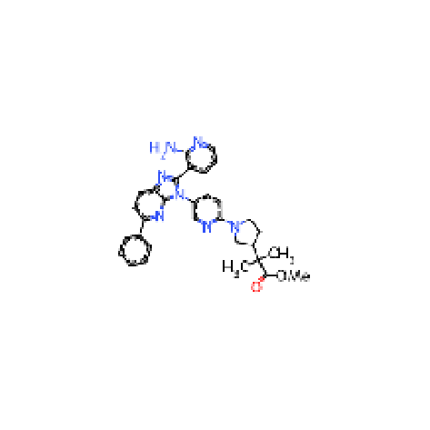 COC(=O)C(C)(C)C1CCN(c2ccc(-n3c(-c4cccnc4N)nc4ccc(-c5ccccc5)nc43)cn2)C1